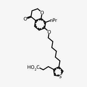 CCCc1c(OCCCCCCc2cscc2CCC(=O)O)ccc2c1OCCC2=O